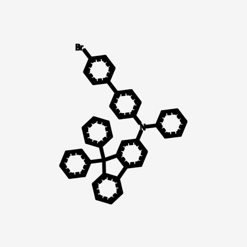 Brc1ccc(-c2ccc(N(c3ccccc3)c3ccc4c(c3)C(c3ccccc3)(c3ccccc3)c3ccccc3-4)cc2)cc1